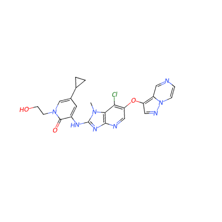 Cn1c(Nc2cc(C3CC3)cn(CCO)c2=O)nc2ncc(Oc3cnn4ccncc34)c(Cl)c21